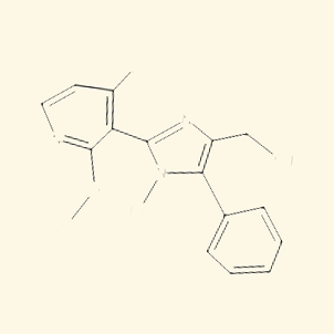 CCc1nc(-c2c(I)ccnc2OC)n(O)c1-c1ccccc1